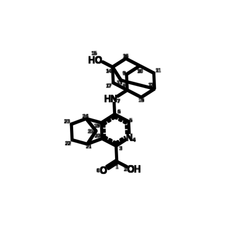 O=C(O)c1ncc(NC23CC4CC(CC(O)(C4)C2)C3)c2c1C1CCC2C1